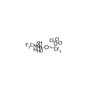 O=C(NNC(=S)NCC(F)(F)F)c1ccc(/C=C/C(c2cc(Cl)c(Cl)c(Cl)c2)C(F)(F)F)cc1